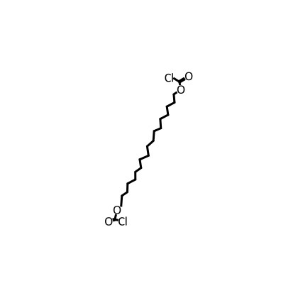 O=C(Cl)OCCCCCCCCCCCCCCCCCCOC(=O)Cl